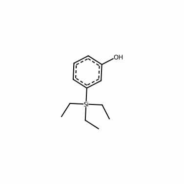 CC[Si](CC)(CC)c1cccc(O)c1